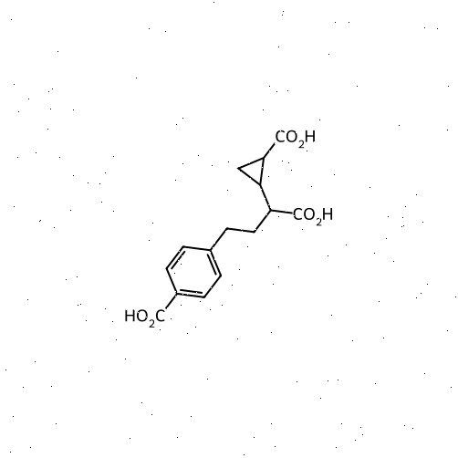 O=C(O)c1ccc(CCC(C(=O)O)C2CC2C(=O)O)cc1